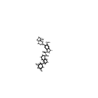 COc1cc2c(cc1N1CCN3CCC[C@@H]3C1)N(C(=O)Nc1cccc3c(-c4cc(C)nc(C)c4)cccc13)CC2